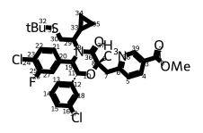 COC(=O)c1ccc(C[C@]2(C)O[C@H](c3cccc(Cl)c3)C(c3ccc(Cl)c(F)c3)N(C(CSC(C)(C)C)C3CC3)C2=O)nc1